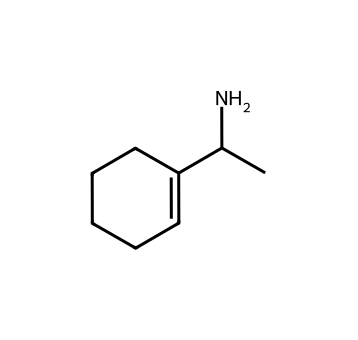 CC(N)C1=CCCCC1